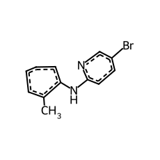 Cc1ccccc1Nc1ccc(Br)cn1